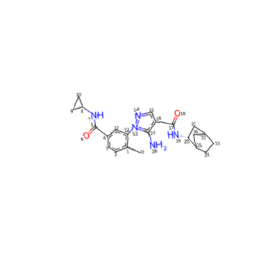 Cc1ccc(C(=O)NC2CC2)cc1-n1ncc(C(=O)N[C@@H]2CC3CCC2C3)c1N